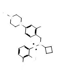 CC(=O)N1CCN(c2ccc(CN(C3CCC3)S(=O)(=O)c3cccc(Cl)c3Cl)c(F)c2)CC1